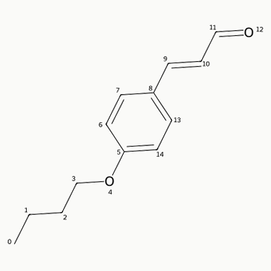 CCCCOc1ccc(C=CC=O)cc1